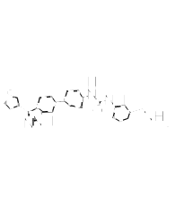 NCc1cccc(NC(=O)Nc2ccc(-c3ccc4c(-c5ccsc5)n[nH]c4c3)cc2)c1